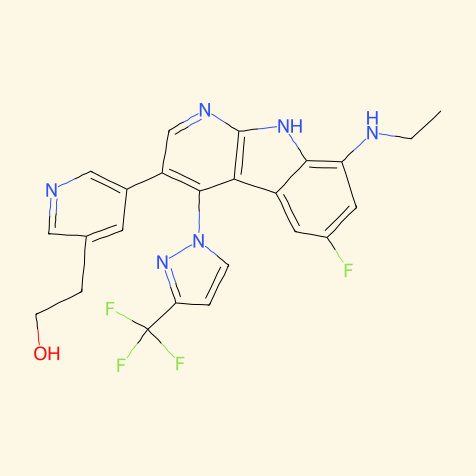 CCNc1cc(F)cc2c1[nH]c1ncc(-c3cncc(CCO)c3)c(-n3ccc(C(F)(F)F)n3)c12